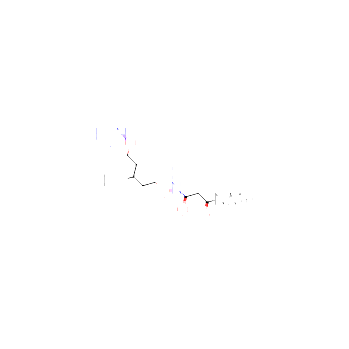 CNC(=O)CC(=O)NOCCC(C)CCON